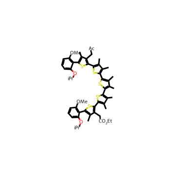 CCOC(=O)Cc1c(-c2sc(-c3sc(-c4sc(-c5sc(-c6c(OC)cccc6OC(C)C)c(C)c5CC(C)=O)c(C)c4C)c(C)c3C)c(C)c2C)sc(-c2c(OC)cccc2OC(C)C)c1C